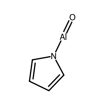 [O]=[Al][n]1cccc1